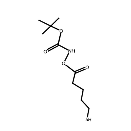 CC(C)(C)OC(=O)NOC(=O)CCCCS